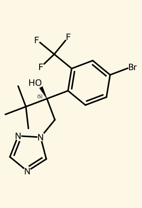 CC(C)(C)[C@@](O)(Cn1cncn1)c1ccc(Br)cc1C(F)(F)F